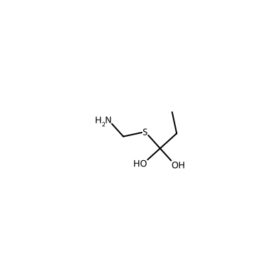 CCC(O)(O)SCN